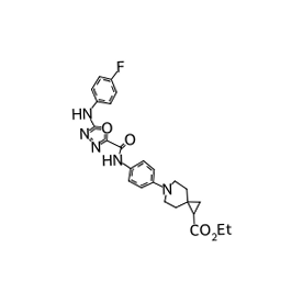 CCOC(=O)C1CC12CCN(c1ccc(NC(=O)c3nnc(Nc4ccc(F)cc4)o3)cc1)CC2